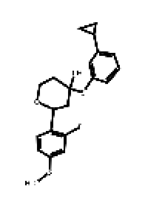 CSc1ccc(C2CC(C)(Sc3cccc(C4CC4)c3)CCO2)c(F)c1